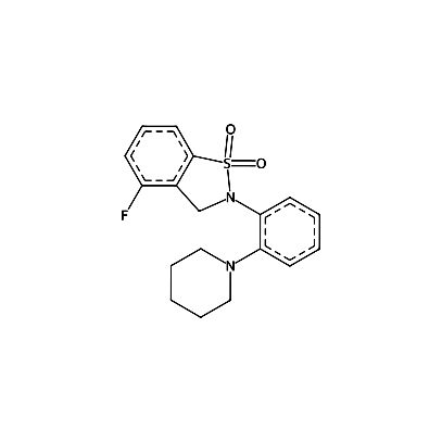 O=S1(=O)c2cccc(F)c2CN1c1ccccc1N1CCCCC1